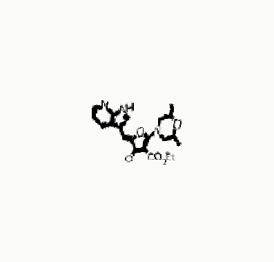 CCOC(=O)C1=C(N2CC(C)OC(C)C2)OC(=Cc2c[nH]c3ncccc23)C1=O